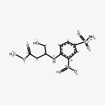 COC(=O)CC(CO)Nc1ccc(S(N)(=O)=O)cc1[N+](=O)[O-]